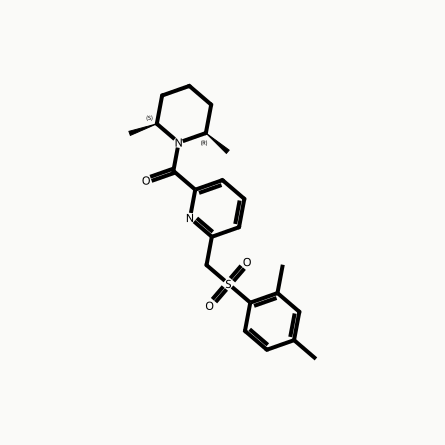 Cc1ccc(S(=O)(=O)Cc2cccc(C(=O)N3[C@H](C)CCC[C@@H]3C)n2)c(C)c1